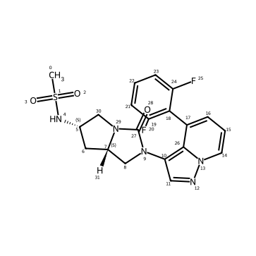 CS(=O)(=O)N[C@H]1C[C@H]2CN(c3cnn4cccc(-c5c(F)cccc5F)c34)C(=O)N2C1